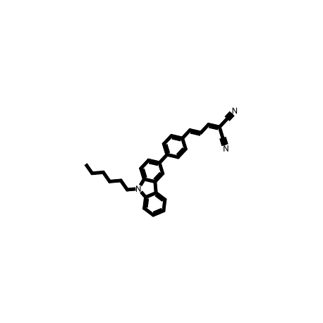 CCCCCCn1c2ccccc2c2cc(-c3ccc(C=CC=C(C#N)C#N)cc3)ccc21